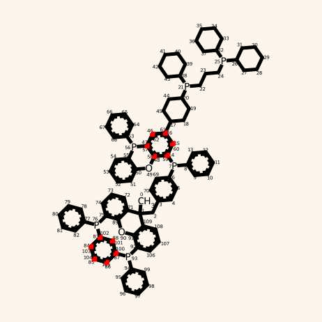 CC1(Cc2ccc(P(c3ccccc3)c3cc(C4CCC(P(CCCP(C5CCCCC5)C5CCCCC5)C5CCCCC5)CC4)ccc3Oc3ccccc3P(c3ccccc3)c3ccccc3)cc2)c2cccc(P(c3ccccc3)c3ccccc3)c2Oc2c(P(c3ccccc3)c3ccccc3)cccc21